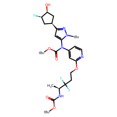 C[C@H](NC(=O)OC(C)(C)C)C(F)(F)CCOc1cc(N(C(=O)OC(C)(C)C)c2cc([C@H]3C[C@@H](F)[C@@H](O)C3)nn2C(C)(C)C)ccn1